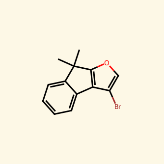 CC1(C)c2ccccc2-c2c(Br)coc21